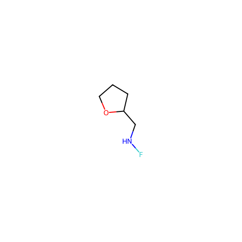 FNCC1CCCO1